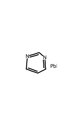 [Pb].c1cncnc1